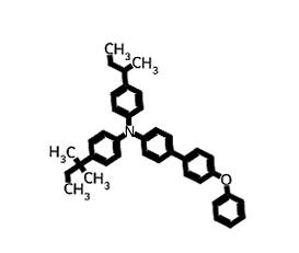 CCC(C)c1ccc(N(c2ccc(-c3ccc(Oc4ccccc4)cc3)cc2)c2ccc(C(C)(C)CC)cc2)cc1